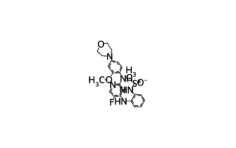 COc1cc(N2CCOCC2)ccc1Nc1ncc(F)c(Nc2ccccc2N[S+](C)[O-])n1